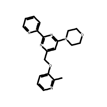 Cc1ncccc1OCc1cc(N2CCOCC2)nc(-c2ccccn2)n1